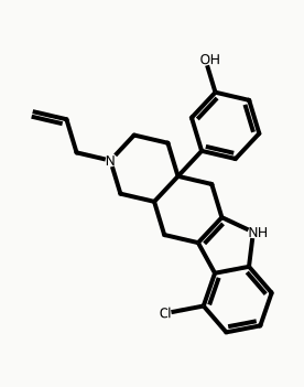 C=CCN1CCC2(c3cccc(O)c3)Cc3[nH]c4cccc(Cl)c4c3CC2C1